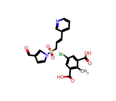 Cc1c(C(=O)O)cc(Br)cc1C(=O)O.O=Cc1ccn(S(=O)(=O)CC=Cc2cccnc2)c1